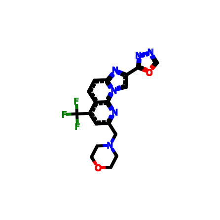 FC(F)(F)c1cc(CN2CCOCC2)nc2c1ccc1nc(-c3nnco3)cn12